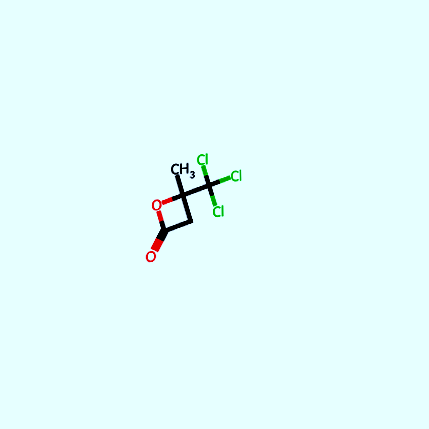 CC1(C(Cl)(Cl)Cl)CC(=O)O1